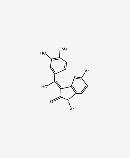 COc1ccc(/C(O)=C2/C(=O)N(C(C)=O)c3ccc(C(C)=O)cc32)cc1O